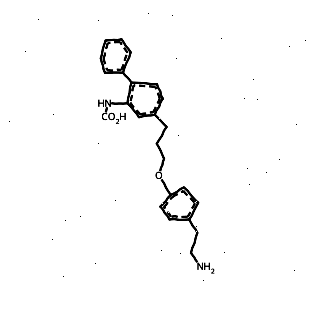 NCCc1ccc(OCCCc2ccc(-c3ccccc3)c(NC(=O)O)c2)cc1